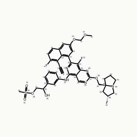 C#Cc1c(F)ccc2cc(OCOC)cc(-c3nc(Nc4cccc(C(O)COS(C)(=O)=O)c4)c4cnc(OC[C@@]56CCCN5C[C@H](F)C6)nc4c3F)c12